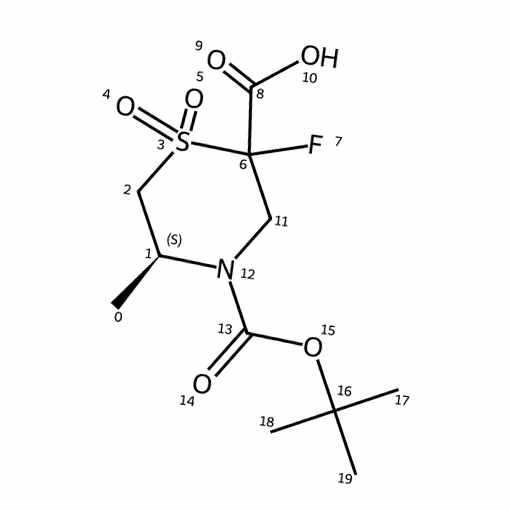 C[C@H]1CS(=O)(=O)C(F)(C(=O)O)CN1C(=O)OC(C)(C)C